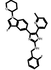 Cc1cccc(-c2[nH]c(NCc3ccccc3F)nc2-c2ccc3c(c2)c(F)cn3C2CCCCO2)n1